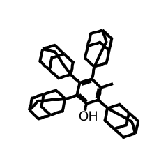 Cc1c(C23CC4CC(CC(C4)C2)C3)c(O)c(C23CC4CC(CC(C4)C2)C3)c(C23CC4CC(CC(C4)C2)C3)c1C12CC3CC(CC(C3)C1)C2